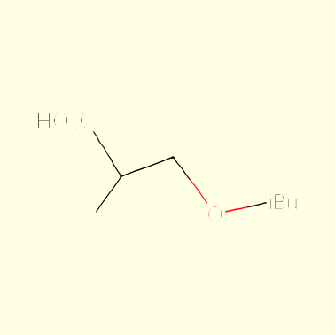 CCC(C)OCC(C)C(=O)O